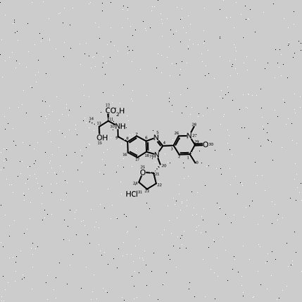 Cc1cc(-c2nc3cc(CN[C@H](C(=O)O)[C@@H](C)O)ccc3n2C[C@@H]2CCCO2)cn(C)c1=O.Cl